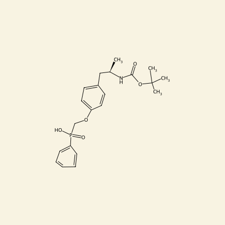 C[C@H](Cc1ccc(OCP(=O)(O)c2ccccc2)cc1)NC(=O)OC(C)(C)C